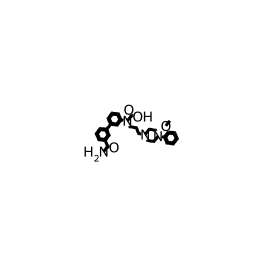 COc1ccccc1N1CCN(CCCN(C(=O)O)c2cccc(-c3cccc(C(N)=O)c3)c2)CC1